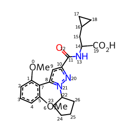 COc1cccc(OC)c1-c1cc(C(=O)NC(CC2CC2)C(=O)O)nn1C1CCCC1